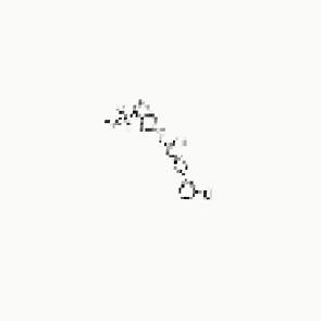 CN(c1ccc(OC[C@@H](O)CN2CCC(c3cccc(Cl)c3)C2)cc1)S(C)(=O)=O